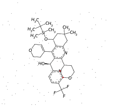 CC1(C)Cc2nc(C3CCOCC3)c([C@H](O)c3ccc(C(F)(F)F)cn3)c(C3=CCOCC3)c2C(O[Si](C)(C)C(C)(C)C)C1